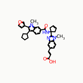 Cn1c(C2(NC(=O)c3ccc4c(C5CCCC5)c(-c5ccoc5)n(C)c4c3)CC=CC2)nc2cc(/C=C/C(=O)O)ccc21